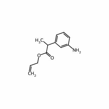 C=CCOC(=O)C(C)c1cccc(N)c1